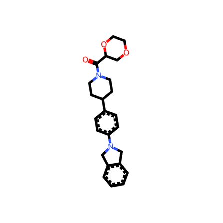 O=C(C1COCCO1)N1CCC(c2ccc(N3Cc4ccccc4C3)cc2)CC1